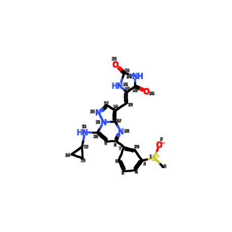 C[S+]([O-])c1cccc(-c2cc(NC3CC3)n3ncc(/C=C4\NC(=O)NC4=O)c3n2)c1